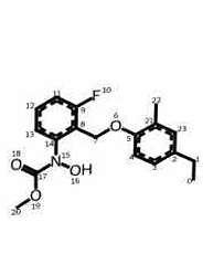 CCc1ccc(OCc2c(F)cccc2N(O)C(=O)OC)c(C)c1